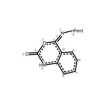 CCCCC/N=c1/oc(=O)[nH]c2ccccc12